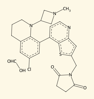 CN1CC(N2CCCc3cc(Cl)cc(-c4ccnc5cc(CN6C(=O)CCC6=O)sc45)c32)C1.O=CO